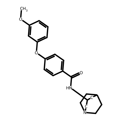 COc1cccc(Oc2ccc(C(=O)NC3CC4CCN(CC4)C3)cc2)c1